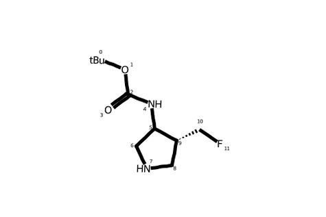 CC(C)(C)OC(=O)NC1CNC[C@H]1CF